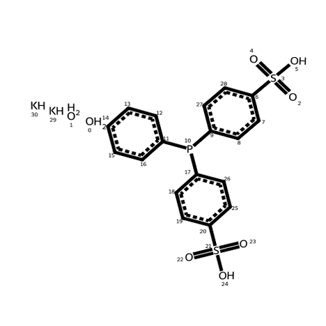 O.O.O=S(=O)(O)c1ccc(P(c2ccccc2)c2ccc(S(=O)(=O)O)cc2)cc1.[KH].[KH]